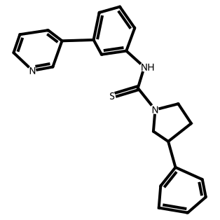 S=C(Nc1cccc(-c2cccnc2)c1)N1CCC(c2ccccc2)C1